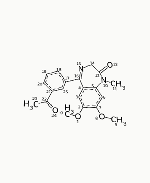 COc1cc2c(cc1OC)N(C)C(=O)CN=C2c1cccc(C(C)=O)c1